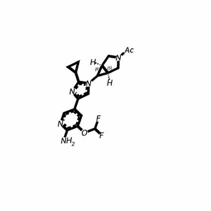 CC(=O)N1C[C@@H]2C(n3cc(-c4cnc(N)c(OC(F)F)c4)nc3C3CC3)[C@@H]2C1